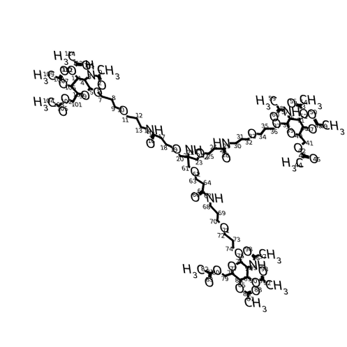 CC(=O)NC1C(OCCCOCCCNC(=O)CCOCC(N)(COCCC(=O)NCCCOCCCOC2OC(COC(C)=O)C(OC(C)=O)C(OC(C)=O)C2NC(C)=O)COCCC(=O)NCCCOCCCOC2OC(COC(C)=O)C(OC(C)=O)C(OC(C)=O)C2NC(C)=O)OC(COC(C)=O)C(OC(C)=O)C1OC(C)=O